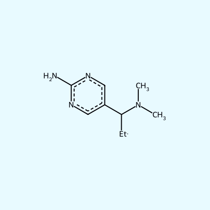 C[CH]C(c1cnc(N)nc1)N(C)C